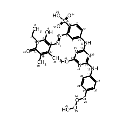 CCn1c(O)c(N=Nc2cc(Nc3nc(O)nc(Nc4ccc(SOOO)cc4)n3)ccc2S(=O)(=O)O)c(C)c(C)c1=O